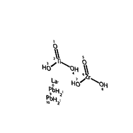 [La].[O]=[Ti]([OH])[OH].[O]=[Zr]([OH])[OH].[PbH2].[PbH2]